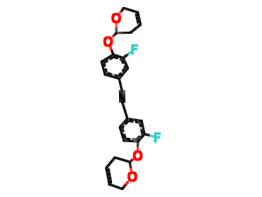 Fc1cc(C#Cc2ccc(OC3CC=CCO3)c(F)c2)ccc1OC1CC=CCO1